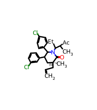 C=CC[C@@]1(C)CC(c2cccc(Cl)c2)C(c2ccc(Cl)cc2)N(C(CC)C(C)C(C)=O)C1=O